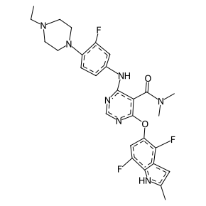 CCN1CCN(c2ccc(Nc3ncnc(Oc4cc(F)c5[nH]c(C)cc5c4F)c3C(=O)N(C)C)cc2F)CC1